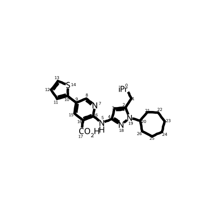 CC(C)Cc1cc(Nc2ncc(-c3cccs3)cc2C(=O)O)nn1C1CCCCCC1